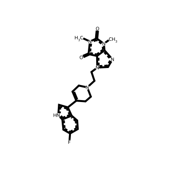 Cn1c(=O)c2c(ncn2CCN2CC=C(c3c[nH]c4cc(F)ccc34)CC2)n(C)c1=O